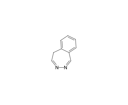 C1=NN=Cc2ccccc2C1